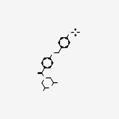 CC1CN(C(=O)c2ccc(NCc3ccc(NS(=O)(=O)C(C)(C)C)cc3)cc2)CC(C)O1